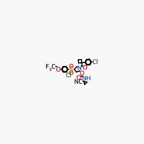 N#CC1(NC(=O)O[C@H]2C[C@@H](S(=O)(=O)c3ccc(OCC(F)(F)F)cc3Cl)CN2C(=O)C2(c3ccc(Cl)cc3)CCC2)CC1